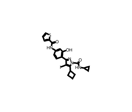 O=C(Nc1ccc(-c2nn(C(=O)NC3CC3)c(C3CCC3)c2I)c(O)c1)c1cccs1